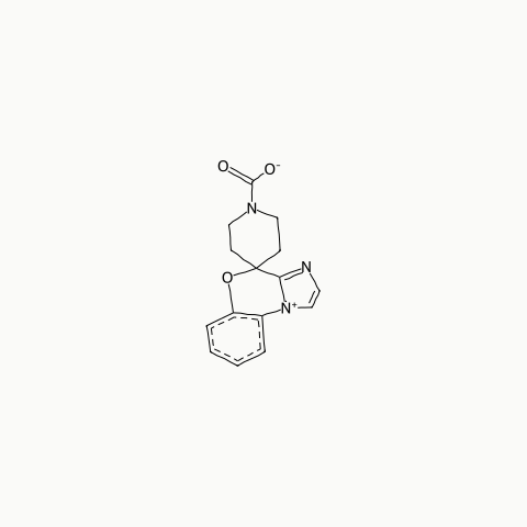 O=C([O-])N1CCC2(CC1)Oc1ccccc1[N+]1C=CN=C12